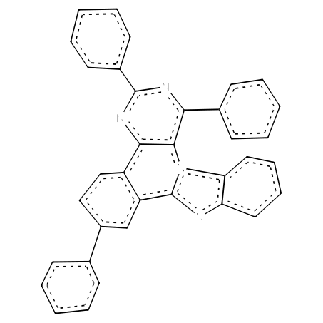 c1ccc(-c2ccc3c(c2)c2nc4ccccc4n2c2c(-c4ccccc4)nc(-c4ccccc4)nc32)cc1